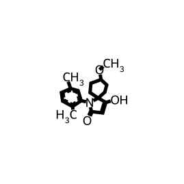 COC1CCC2(CC1)C(O)=CC(=O)N2c1cc(C)ccc1C